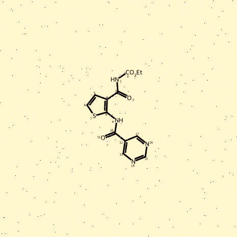 CCOC(=O)NC(=O)c1ccsc1NC(=O)c1cncnc1